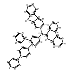 c1ccc(-c2ccc(-c3ccc(N(c4ccc5c(c4)sc4ccccc45)c4cc5ccccc5c5ccccc45)cc3-c3ccccc3)cc2)cc1